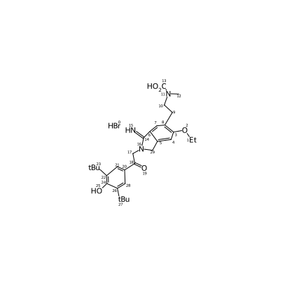 Br.CCOc1cc2c(cc1CCN(C)C(=O)O)C(=N)N(CC(=O)c1cc(C(C)(C)C)c(O)c(C(C)(C)C)c1)C2